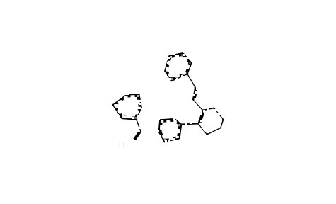 C(=Cc1ccccc1)C1=C(c2ccccc2)CCCC1.C=Cc1ccccc1